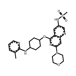 Cc1cccnc1NC1CCC(Oc2nc(N3CCOCC3)cc3ncc(NS(C)(=O)=O)cc23)CC1